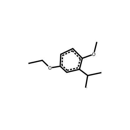 [CH2]C(C)c1cc(OCC)ccc1OC